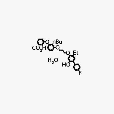 CCCCc1c(OCCCOc2cc(O)c(-c3ccc(F)cc3)cc2CC)cccc1Oc1ccccc1C(=O)O.O